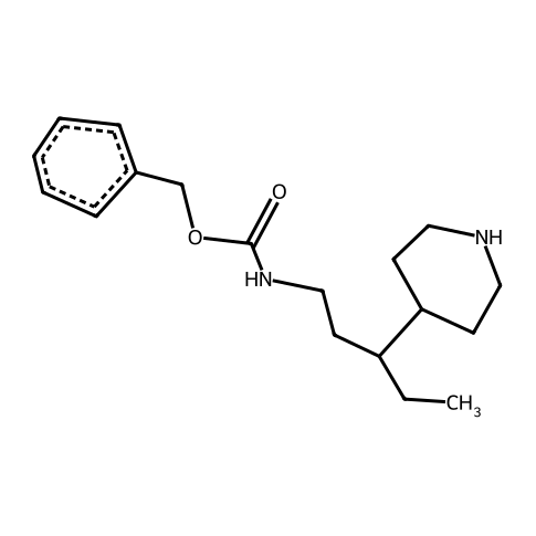 CCC(CCNC(=O)OCc1ccccc1)C1CCNCC1